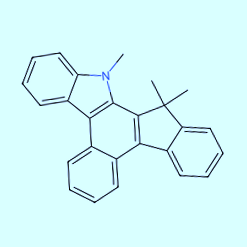 Cn1c2ccccc2c2c3ccccc3c3c(c21)C(C)(C)c1ccccc1-3